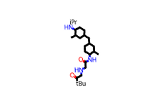 CC(C)NC1CCC(CC2CCC(NC(=O)CNCC(=O)C(C)(C)C)C(C)C2)CC1C